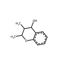 CC1Oc2ccccc2C(O)C1C